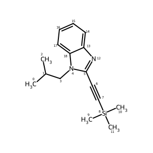 CC(C)Cn1c(C#C[Si](C)(C)C)nc2ccccc21